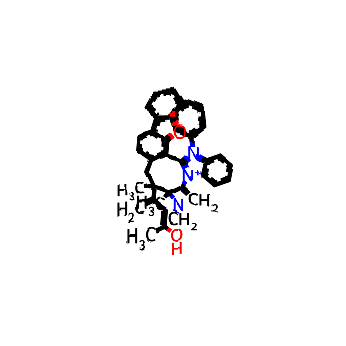 C=NC1(C)C(=C)[n+]2c(n(-c3ccccc3)c3ccccc32)-c2c(ccc3c2oc2ccccc23)CC1(C)C(=C)/C=C(\C)O